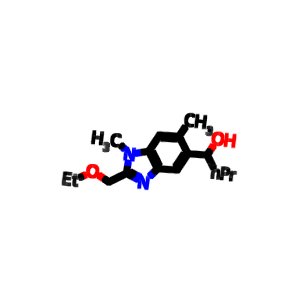 CCCC(O)c1cc2nc(COCC)n(C)c2cc1C